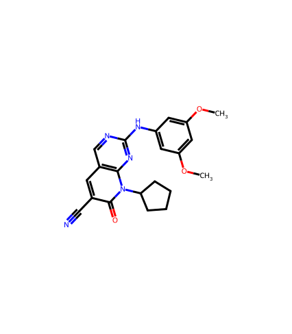 COc1cc(Nc2ncc3cc(C#N)c(=O)n(C4CCCC4)c3n2)cc(OC)c1